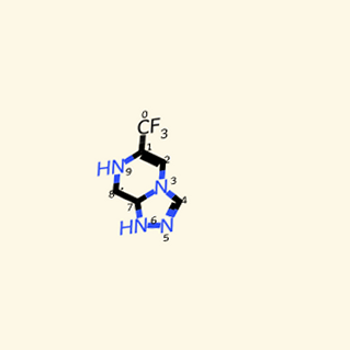 FC(F)(F)C1=CN2C=NNC2[C]N1